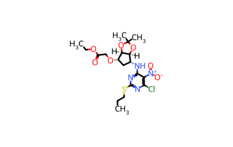 CCCSc1nc(Cl)c([N+](=O)[O-])c(N[C@@H]2C[C@H](OCC(=O)OCC)[C@H]3OC(C)(C)O[C@H]32)n1